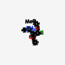 COc1ccc(COCc2cc(C(CC/C(N)=C/N(N)C3CCC3)C(C)(C)C(=O)OCc3ccccc3)ccc2Cl)cc1